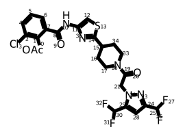 CC(=O)Oc1c(Cl)cccc1C(=O)Nc1csc(C2CCN(C(=O)Cn3nc(C(F)F)cc3C(F)F)CC2)n1